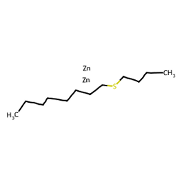 CCCCCCCCSCCCC.[Zn].[Zn]